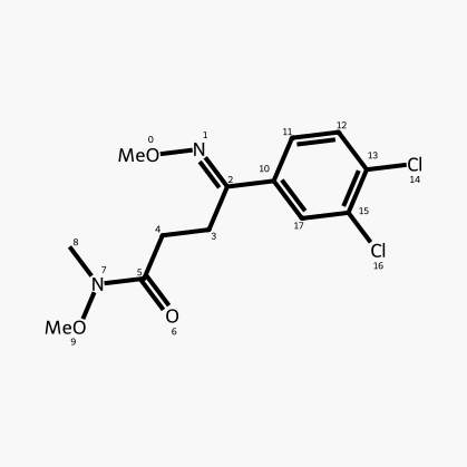 CO/N=C(\CCC(=O)N(C)OC)c1ccc(Cl)c(Cl)c1